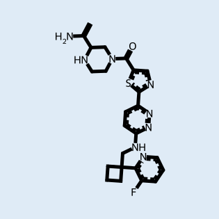 C=C(N)C1CN(C(=O)c2cnc(-c3ccc(NCC4(c5ncccc5F)CCC4)nn3)s2)CCN1